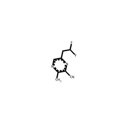 Cc1ncc(CC(F)F)nc1C#N